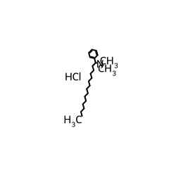 CCCCCCCCCCCCCCCC(c1ccccc1)N(C)C.Cl